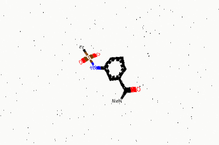 CCS(=O)(=O)Nc1cccc(C(=O)NC)c1